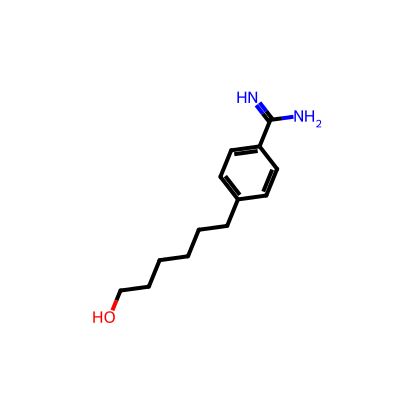 N=C(N)c1ccc(CCCCCCO)cc1